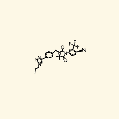 CCCn1cc(-c2ccc(CN3C(=O)N(c4ccc(C#N)c(C(F)(F)F)c4)C(=O)C3(C)C)cc2)nn1